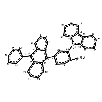 CC(C)(C)c1ccc(-c2c3ccccc3c(-c3ccccc3)c3ccccc23)cc1-n1c2ccccc2c2ccccc21